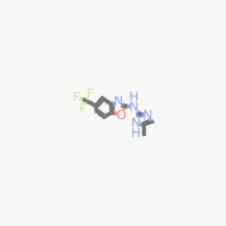 Cc1cnc(Nc2nc3cc(C(F)(F)F)ccc3o2)[nH]1